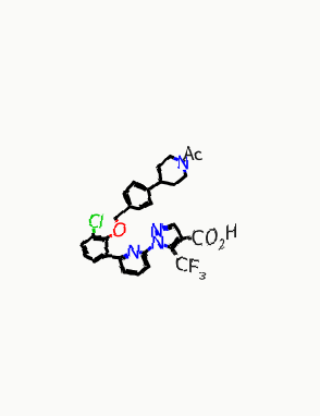 CC(=O)N1CCC(c2ccc(COc3c(Cl)cccc3-c3cccc(-n4ncc(C(=O)O)c4C(F)(F)F)n3)cc2)CC1